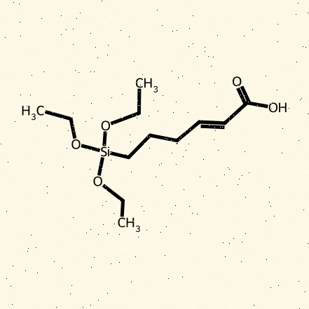 CCO[Si](CC[CH]C=CC(=O)O)(OCC)OCC